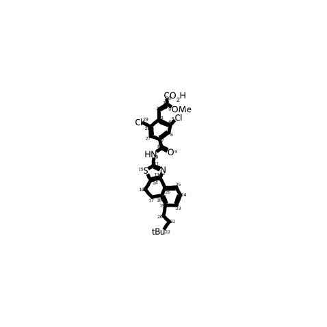 CO/C(=C\c1c(Cl)cc(C(=O)Nc2nc3c(s2)CCc2c(CCC(C)(C)C)cccc2-3)cc1Cl)C(=O)O